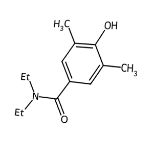 CCN(CC)C(=O)c1cc(C)c(O)c(C)c1